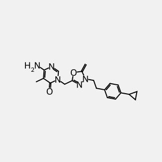 C=C1OC(Cn2cnc(N)c(C)c2=O)=NN1CCc1ccc(C2CC2)cc1